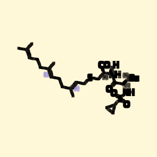 CC[C@H](C)[C@H](NS(=O)(=O)C1CC1)C(=O)N[C@@H](CSC/C=C(\C)CC/C=C(\C)CCC=C(C)C)C(=O)O